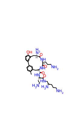 Cc1ccc2cc1C[C@@H](C(=O)N[C@@H](CCN)C(=O)NC[C@@H](N)CCCN)NC(=O)[C@H](CCCN)NC(=O)[C@@H](N)Cc1cc-2ccc1O